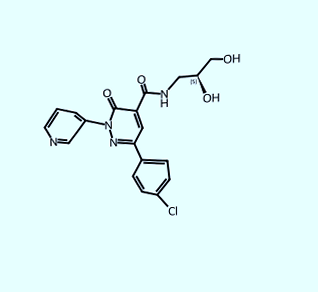 O=C(NC[C@H](O)CO)c1cc(-c2ccc(Cl)cc2)nn(-c2cccnc2)c1=O